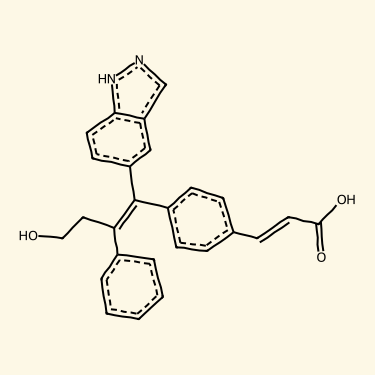 O=C(O)/C=C/c1ccc(/C(=C(/CCO)c2ccccc2)c2ccc3[nH]ncc3c2)cc1